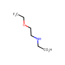 O=C(O)CNCCOCC(F)(F)F